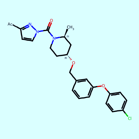 CC(=O)c1ccn(C(=O)N2CC[C@@H](OCc3cccc(Oc4ccc(Cl)cc4)c3)C[C@@H]2C)n1